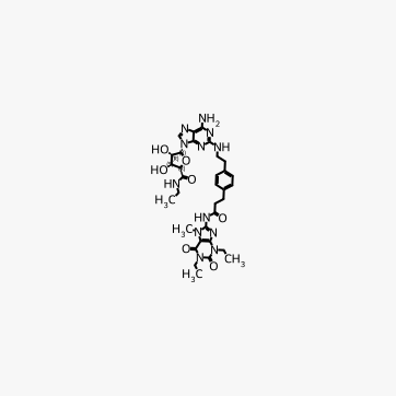 CCNC(=O)[C@@H]1O[C@@H](n2cnc3c(N)nc(NCCc4ccc(CCC(=O)Nc5nc6c(c(=O)n(CC)c(=O)n6CC)n5C)cc4)nc32)[C@H](O)[C@@H]1O